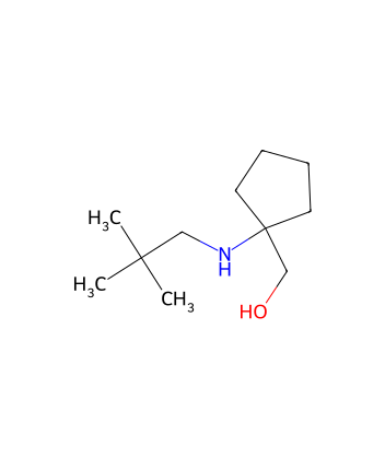 CC(C)(C)CNC1(CO)CCCC1